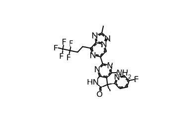 Cc1nc2c(CCC(F)(F)C(F)(F)F)nc(-c3nc(N)c4c(n3)NC(=O)C4(C)c3ccc(F)cn3)cn2n1